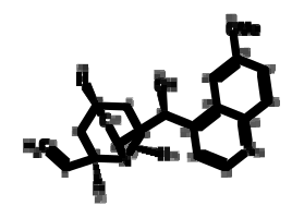 C=C[C@H]1C[C@@H]2CCN1[C@H]([C@@H](O)c1ccnc3ccc(OC)cc13)C2